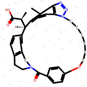 Cc1c2ccc3c1nnn3CCCCCCOc1ccc(cc1)C(=O)N1CCc3ccc(cc3C1)[C@H]2[C@H](C)C(=O)O